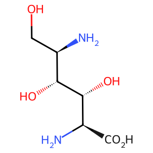 N[C@H](CO)[C@@H](O)[C@H](O)[C@H](N)C(=O)O